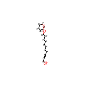 OCC#CCCCCCCCCOC1CCCCO1